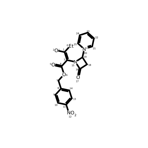 CCC([O-])=C(C(=O)OCc1ccc([N+](=O)[O-])cc1)N1C(=O)CC1[n+]1ccccc1